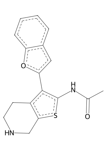 CC(=O)Nc1sc2c(c1-c1cc3ccccc3o1)CCNC2